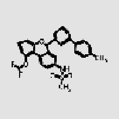 Cc1ccc(-c2cccc(C3Oc4cccc(OC(F)F)c4-c4ccc(NS(C)(=O)=O)cc43)c2)cc1